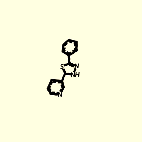 c1ccc(C2=NNC(c3cccnc3)S2)cc1